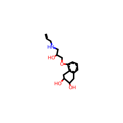 C=CCNCC(O)COc1cccc2c1CC(O)C(O)C2